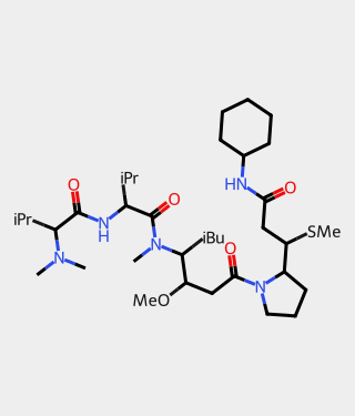 CCC(C)C(C(CC(=O)N1CCCC1C(CC(=O)NC1CCCCC1)SC)OC)N(C)C(=O)C(NC(=O)C(C(C)C)N(C)C)C(C)C